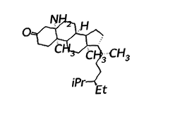 CC[C@H](CC[C@@H](C)[C@H]1CCC2[C@@H]3CC[C@]4(N)CC(=O)CC[C@]4(C)C3CC[C@@]21C)C(C)C